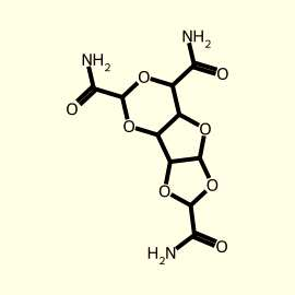 NC(=O)C1OC2OC3C(C(N)=O)OC(C(N)=O)OC3C2O1